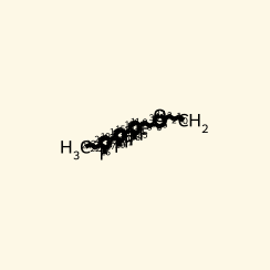 C=CCCC1CCC(CCc2ccc(-c3ccc(-c4ccc(CCC)c(F)c4)c(F)c3F)c(F)c2F)CO1